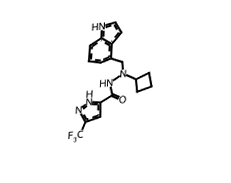 O=C(NN(Cc1cccc2[nH]ccc12)C1CCC1)c1cc(C(F)(F)F)n[nH]1